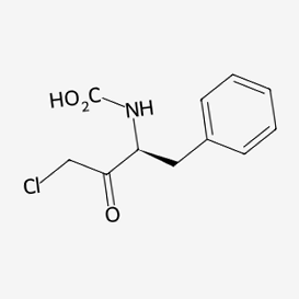 O=C(O)N[C@@H](Cc1ccccc1)C(=O)CCl